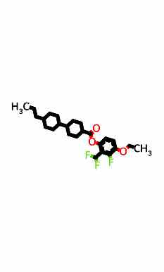 CCCC1CCC(C2CCC(C(=O)Oc3ccc(OCC)c(F)c3C(F)F)CC2)CC1